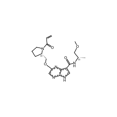 C=CC(=O)N1CCC[C@H]1COc1cnc2[nH]cc(C(=O)N[C@@H](C)COC)c2n1